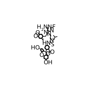 CC(C)CN(CCn1c(Cc2cc3c(cc2I)OCO3)nc2c(N)nc(F)nc21)C(=S)Nc1ccc2c(c1)C(=O)OC21c2ccc(O)cc2Oc2cc(O)ccc21